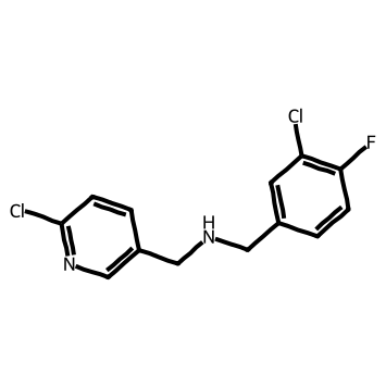 Fc1ccc(CNCc2ccc(Cl)nc2)cc1Cl